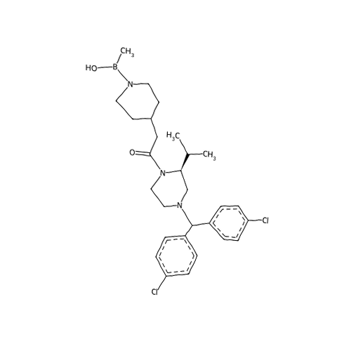 CB(O)N1CCC(CC(=O)N2CCN(C(c3ccc(Cl)cc3)c3ccc(Cl)cc3)C[C@@H]2C(C)C)CC1